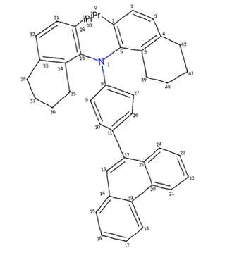 CC(C)c1ccc2c(c1N(c1ccc(-c3cc4ccccc4c4ccccc34)cc1)c1c(C(C)C)ccc3c1CCCC3)CCCC2